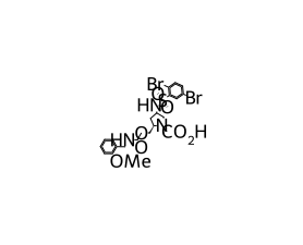 COc1ccccc1CNC(=O)OC[C@H]1C[C@@H](NS(=O)(=O)c2cc(Br)ccc2Br)CN1C(=O)O